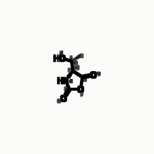 C[C@@H](O)[C@@H]1NC(=O)OC1=O